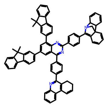 CC1(C)c2ccccc2-c2ccc(-c3cc(-c4ccc5c(c4)C(C)(C)c4ccccc4-5)c4nc(-c5ccc(C6=C7C=CC=CC78CN6C6C=CC=CC68)cc5)nc(-c5ccc(-c6nc7ccccc7c7c6CCC=C7)cc5)c4c3)cc21